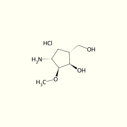 CO[C@@H]1[C@H](O)[C@@H](CO)C[C@H]1N.Cl